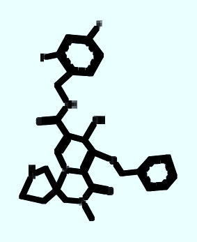 CN1CC2(CCNC2)N2C=C(C(=O)NCc3ccc(F)cc3F)C(O)C(OCc3ccccc3)=C2C1=O